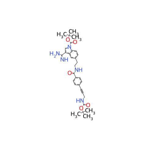 CC(C)(C)OC(=O)NCC#Cc1ccc(C(=O)NCCc2ccc3c(c2)c(C(=N)N)cn3C(=O)OC(C)(C)C)cc1